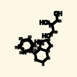 C1CCC2NCCC2C1.OCC(O)CO.c1cnnnc1